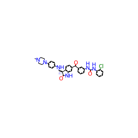 CN1CCN(c2ccc(N/C=C3/C(=O)Nc4cc(C(=O)c5cccc(NC(=O)Nc6ccccc6Cl)c5)ccc43)cc2)CC1